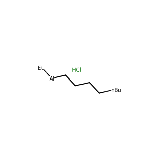 CCCCCCC[CH2][Al][CH2]C.Cl